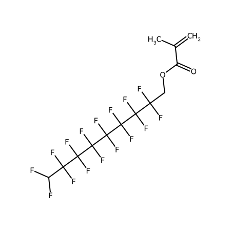 C=C(C)C(=O)OCC(F)(F)C(F)(F)C(F)(F)C(F)(F)C(F)(F)C(F)(F)C(F)(F)C(F)F